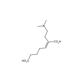 CN(C)CCC(=CCCCS(=O)(=O)O)C(=O)O